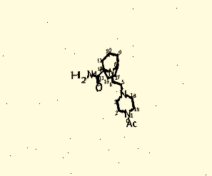 CC(=O)N1CCN(CCN2C3C[CH]C[C@@]2(C(N)=O)CC3)CC1